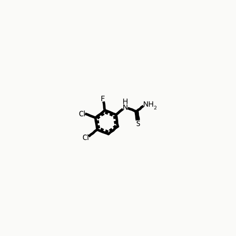 NC(=S)Nc1ccc(Cl)c(Cl)c1F